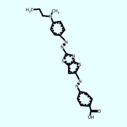 CCCN(C)c1ccc(N=Nc2nc3sc(N=Nc4ccc(C(=O)O)cc4)cc3s2)cc1